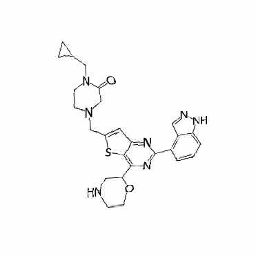 O=C1CN(Cc2cc3nc(-c4cccc5[nH]ncc45)nc(C4CNCCO4)c3s2)CCN1CC1CC1